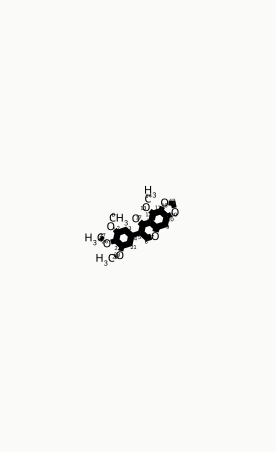 COc1cc(-c2coc3cc4c(c(OC)c3c2=O)OCO4)cc(OC)c1OC